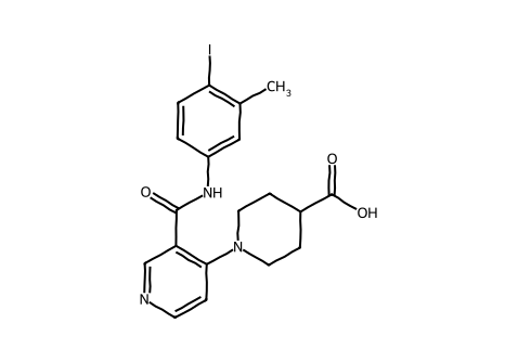 Cc1cc(NC(=O)c2cnccc2N2CCC(C(=O)O)CC2)ccc1I